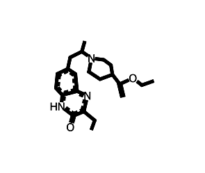 C=C(OCC)C1CCN(C(C)Cc2ccc3[nH]c(=O)c(CC)nc3c2)CC1